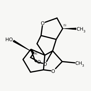 CC1OC2CCC34C(OC[C@@H]3O)OC13C1C(CC234)OC[C@H]1C